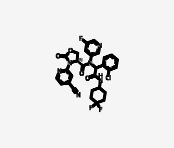 N#Cc1ccnc(N2C(=O)OC[C@H]2C(=O)N(c2cncc(F)c2)C(C(=O)NC2CCC(F)(F)CC2)c2ccccc2Cl)c1